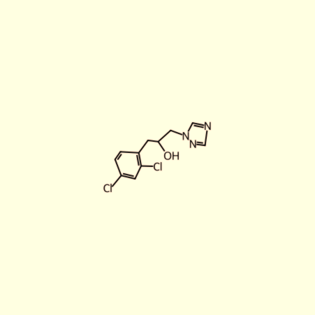 OC(Cc1ccc(Cl)cc1Cl)Cn1cncn1